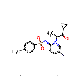 Cc1ccc(S(=O)(=O)N=c2ccc(I)cn2C(C)C(=O)C2CC2)cc1